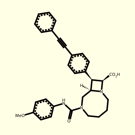 COc1ccc(NC(=O)N2CCCCN3[C@H](C(=O)O)[C@H](c4ccc(C#Cc5ccccc5)cc4)[C@@H]3C2)cc1